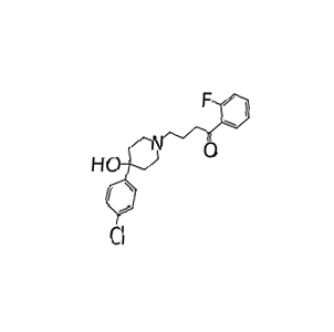 O=C(CCCN1CCC(O)(c2ccc(Cl)cc2)CC1)c1ccccc1F